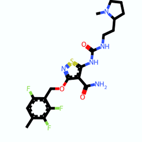 Cc1cc(F)c(COc2nsc(NC(=O)NCCC3CCCN3C)c2C(N)=O)c(F)c1F